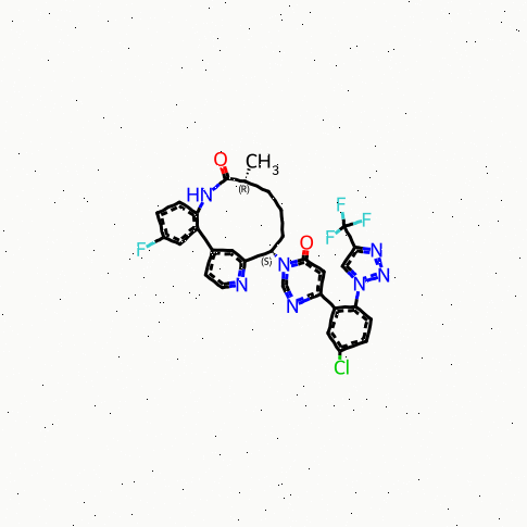 C[C@@H]1CCC[C@H](n2cnc(-c3cc(Cl)ccc3-n3cc(C(F)(F)F)nn3)cc2=O)c2cc(ccn2)-c2cc(F)ccc2NC1=O